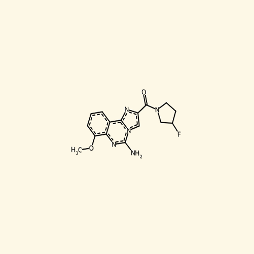 COc1cccc2c1nc(N)n1cc(C(=O)N3CCC(F)C3)nc21